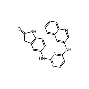 O=C1Cc2cc(Nc3nccc(Nc4cnc5ccccc5c4)n3)ccc2N1